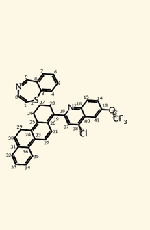 C1=CSc2ccccc2C=N1.FC(F)(F)Oc1ccc2nc(C3=c4ccc5c(c4CCC3)CC=c3ccccc3=5)cc(Cl)c2c1